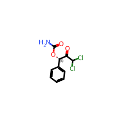 NC(=O)O[C@H](C(=O)C(Cl)Cl)c1ccccc1